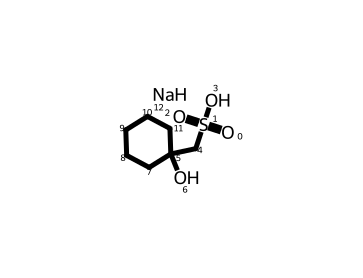 O=S(=O)(O)CC1(O)CCCCC1.[NaH]